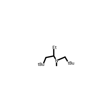 CCC(CC(C)(C)C)N(C)CC(C)(C)C